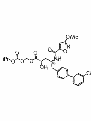 COc1cc(C(=O)N[C@H](Cc2ccc(-c3cccc(Cl)c3)cc2)CC(O)C(=O)OCOC(=O)OC(C)C)on1